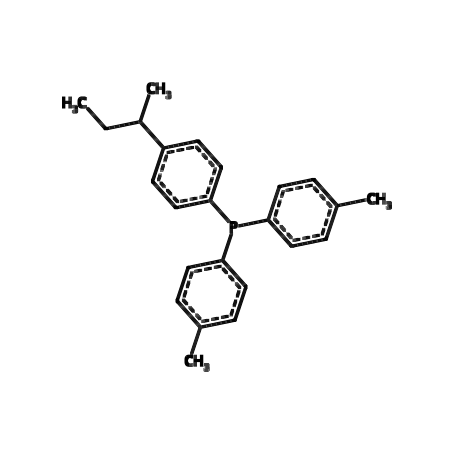 CCC(C)c1ccc(P(c2ccc(C)cc2)c2ccc(C)cc2)cc1